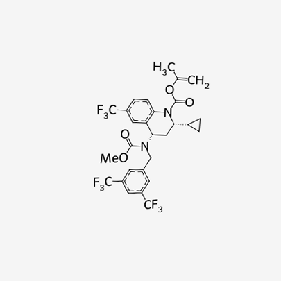 C=C(C)OC(=O)N1c2ccc(C(F)(F)F)cc2[C@@H](N(Cc2cc(C(F)(F)F)cc(C(F)(F)F)c2)C(=O)OC)C[C@H]1C1CC1